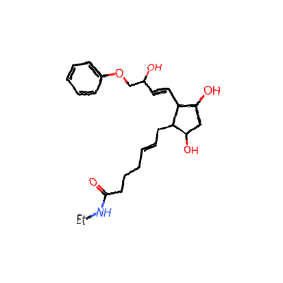 CCNC(=O)CCCC=CCC1C(O)CC(O)C1C=CC(O)COc1ccccc1